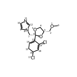 COC[C@H]1CO[C@](Cn2ccnc2)(C2=CCC(Cl)C=C2Cl)O1